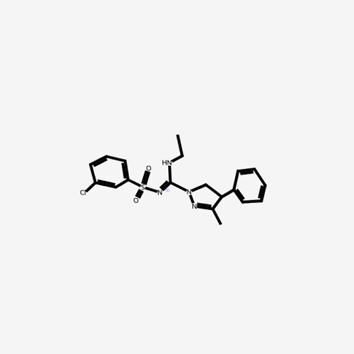 CCN/C(=N\S(=O)(=O)c1cccc(Cl)c1)N1CC(c2ccccc2)C(C)=N1